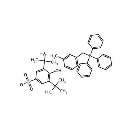 CC(C)(C)c1cc(S(=O)(=O)[O-])cc(C(C)(C)C)c1O.Cc1cccc(C[P+](c2ccccc2)(c2ccccc2)c2ccccc2)c1